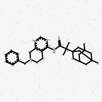 CC12CC3CC(C)(C1)CC(C(C)(C)C(=O)Nc1ncnc4c1CCN(Cc1ccccc1)C4)(C3)C2